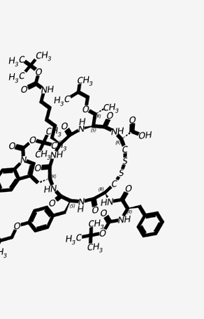 CC(C)COc1ccc(C[C@@H]2NC(=O)[C@@H](NC(=O)[C@@H](Cc3ccccc3)NC(=O)OC(C)(C)C)CSSC[C@@H](C(=O)O)NC(=O)[C@H]([C@@H](C)OCC(C)C)NC(=O)[C@H](CCCCCNC(=O)OC(C)(C)C)NC(=O)[C@@H](Cc3cn(C(=O)OC(C)(C)C)c4ccccc34)NC2=O)cc1